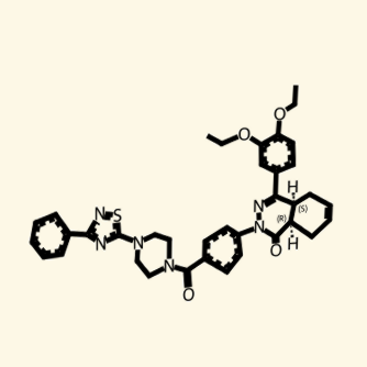 CCOc1ccc(C2=NN(c3ccc(C(=O)N4CCN(c5nc(-c6ccccc6)ns5)CC4)cc3)C(=O)[C@@H]3CC=CC[C@H]23)cc1OCC